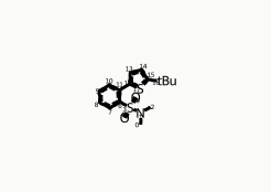 CN(C)S(=O)(=O)c1ccccc1-c1ccc(C(C)(C)C)s1